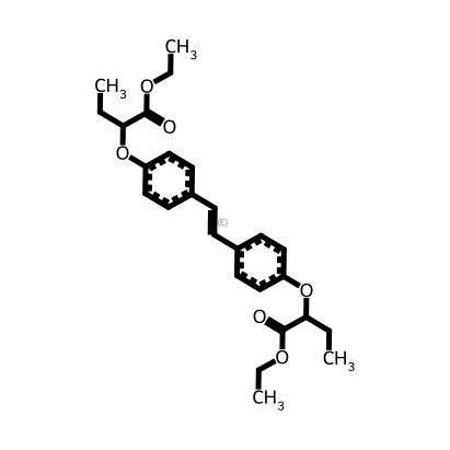 CCOC(=O)C(CC)Oc1ccc(/C=C/c2ccc(OC(CC)C(=O)OCC)cc2)cc1